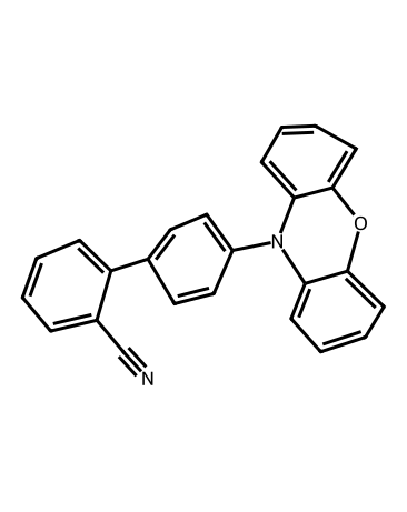 N#Cc1ccccc1-c1ccc(N2c3ccccc3Oc3ccccc32)cc1